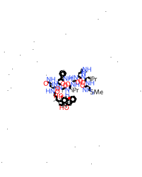 CSCC[C@H](NC(=O)[C@H](CC(C)C)NC(=O)[C@H](Cc1c[nH]cn1)NC(=O)CNC(=O)[C@@H](NC(=O)[C@H](C)NC(=O)[C@H](Cc1c[nH]c2ccccc12)NC(=O)[C@H](CCC(N)=O)NC(=O)CC[C@@H](C)[C@H]1CC[C@H]2[C@@H]3C(O)CC4CCCC[C@]4(C)[C@H]3CC(O)[C@]12C)C(C)C)C(N)=O